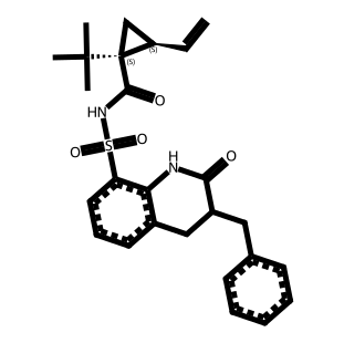 C=C[C@@H]1C[C@@]1(C(=O)NS(=O)(=O)c1cccc2c1NC(=O)C(Cc1ccccc1)C2)C(C)(C)C